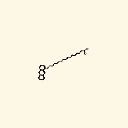 O=C(O)CCCCCCCCCCCCCCCOc1cccc2cc3ccccc3cc12